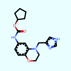 O=C(Nc1ccc2c(c1)N(Cc1c[nH]cn1)CCO2)OC1CCCC1